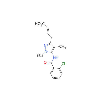 Cc1c(CC=CC(=O)O)nn(C(C)(C)C)c1NC(=O)c1ccccc1Cl